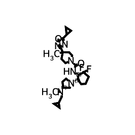 CN(CC1CC1)[C@H]1CCN([C@H]2CCCC(F)(F)[C@@H]2NC(=O)N2CCC(C)(c3noc(C4CC4)n3)CC2)C1